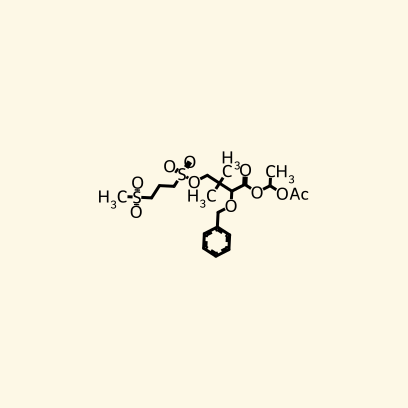 CC(=O)OC(C)OC(=O)C(OCc1ccccc1)C(C)(C)COS(=O)(=O)CCCS(C)(=O)=O